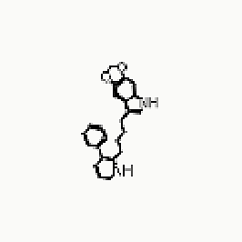 C1=CC(c2ccccc2)C(CCCCc2c[nH]c3cc4c(cc23)OCO4)NC1